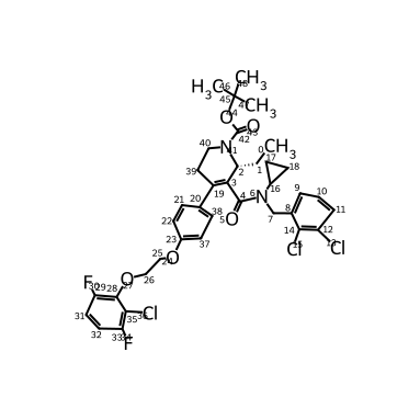 CC[C@@H]1C(C(=O)N(Cc2cccc(Cl)c2Cl)C2CC2)=C(c2ccc(OCCOc3c(F)ccc(F)c3Cl)cc2)CCN1C(=O)OC(C)(C)C